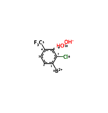 [B+2]c1ccc(C(F)(F)F)cc1Cl.[OH-].[OH-]